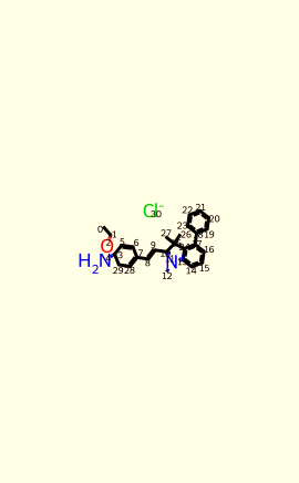 CCOC1(N)C=CC(C=CC2=[N+](C)c3cccc(-c4ccccc4)c3C2(C)C)=CC1.[Cl-]